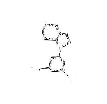 FC(F)(F)c1cc(-n2ccc3ccccc32)cc(C(F)(F)F)c1